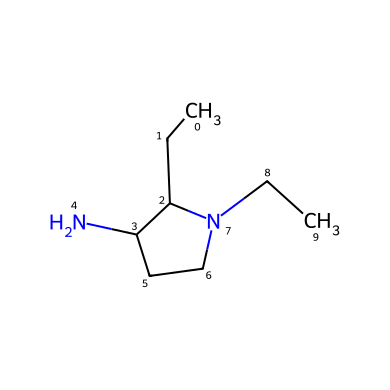 CCC1C(N)CCN1CC